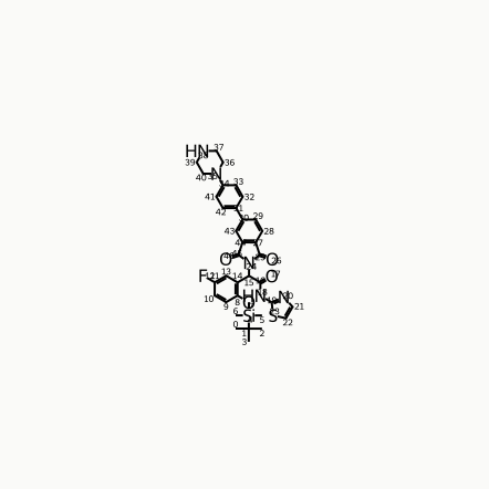 CC(C)(C)[Si](C)(C)Oc1ccc(F)cc1C(C(=O)Nc1nccs1)N1C(=O)c2ccc(-c3ccc(N4CCNCC4)cc3)cc2C1=O